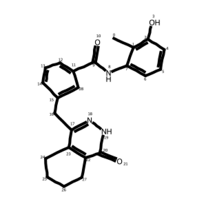 Cc1c(O)cccc1NC(=O)c1cccc(Cc2n[nH]c(=O)c3c2CCCC3)c1